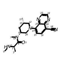 CN[C@H](C)C(=O)N(C)[C@@H]1C[C@H](C)CN(c2ccc(C#N)c3nccnc23)C1